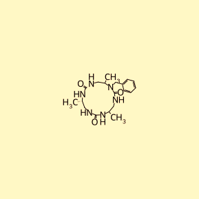 CC1CNC(=O)N(Cc2ccccc2)C(C)CNC(=O)N[C@@H](C)CNC(=O)N1